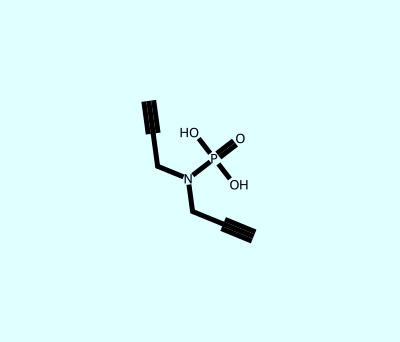 C#CCN(CC#C)P(=O)(O)O